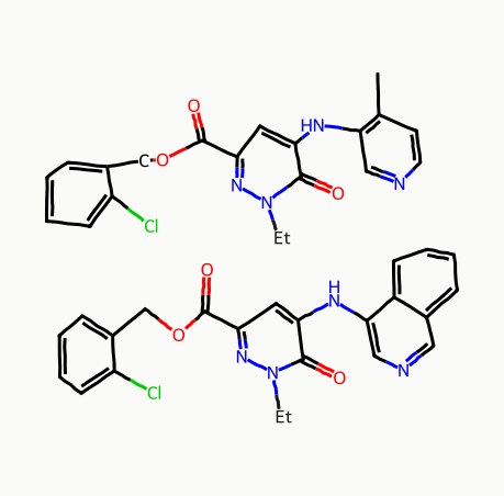 CCn1nc(C(=O)OCc2ccccc2Cl)cc(Nc2cncc3ccccc23)c1=O.CCn1nc(C(=O)OCc2ccccc2Cl)cc(Nc2cnccc2C)c1=O